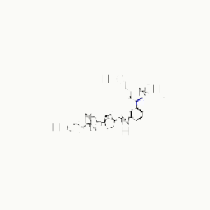 C=N/C=C(\CCCCC)c1cccc(NCC23CCC(C4=NC(CCC)=NC4)(CC2)C3)c1